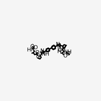 COC(=O)NCC(C)CC(=O)N1CCCC1c1cnc(-c2ccc(-c3ccc(-c4ncc(C5CCCN5C(=O)C(NC(=O)OC)C(C)C)[nH]4)cc3)cc2)[nH]1